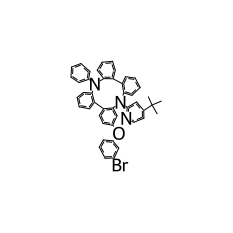 CC(C)(C)c1ccnc(N2c3ccccc3-c3ccccc3N(c3ccccc3)c3ccccc3-c3ccc(Oc4cccc(Br)c4)cc32)c1